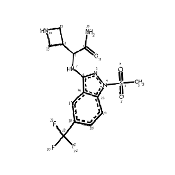 CS(=O)(=O)n1nc(NC(C(N)=O)C2CNC2)c2cc(C(F)(F)F)ccc21